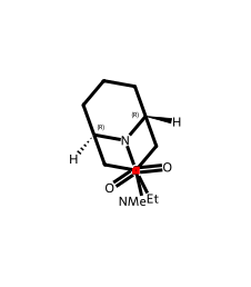 CCS(=O)(=O)N1[C@@H]2CCC[C@@H]1CC(NC)C2